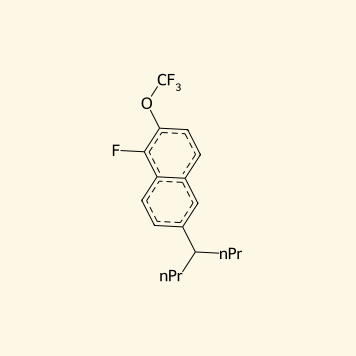 CCCC(CCC)c1ccc2c(F)c(OC(F)(F)F)ccc2c1